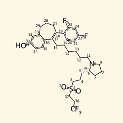 O=S(=O)(CCC[C@H]1CCCN1CCCCCCC1=C(c2ccc(F)cc2F)CCCc2cc(O)ccc21)CCC(F)(F)F